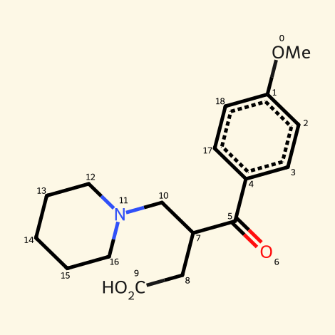 COc1ccc(C(=O)C(CC(=O)O)CN2CCCCC2)cc1